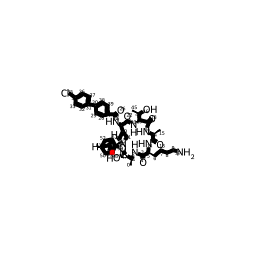 C[C@H](NC(=O)[C@H](CCCCN)NC(=O)[C@H](C)NC(=O)[C@@H](NC(=O)C(NC(=O)c1ccc(-c2ccc(Cl)cc2)cc1)C1CNC1)[C@@H](C)O)B1O[C@@H]2C[C@@H]3C[C@@H](C3(C)C)[C@]2(C)O1